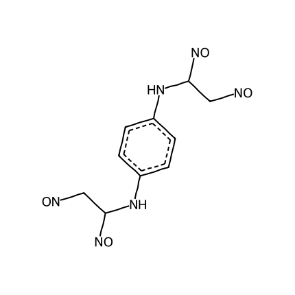 O=NCC(N=O)Nc1ccc(NC(CN=O)N=O)cc1